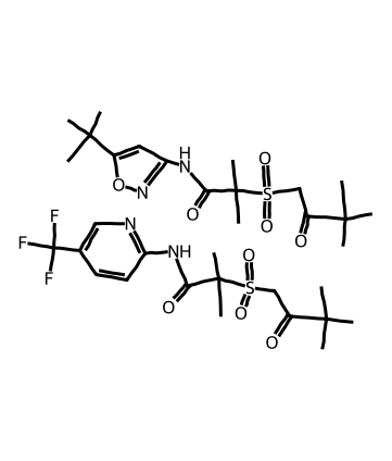 CC(C)(C)C(=O)CS(=O)(=O)C(C)(C)C(=O)Nc1cc(C(C)(C)C)on1.CC(C)(C)C(=O)CS(=O)(=O)C(C)(C)C(=O)Nc1ccc(C(F)(F)F)cn1